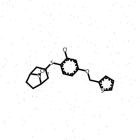 CN1C2CCC1CC(Sc1ccc(OCc3cccs3)cc1Cl)C2